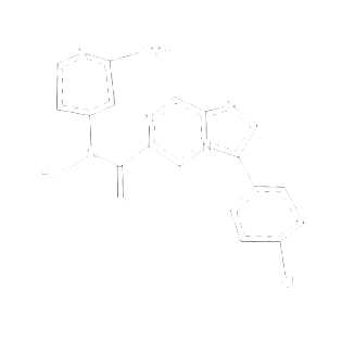 COc1cc(N(C)C(=O)c2cn3c(-c4ccc(C(F)(F)F)cc4)cnc3cn2)ccn1